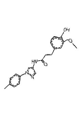 COc1cc(/C=C/C(=O)Nc2cnn(-c3ccc(C)cc3)c2)ccc1O